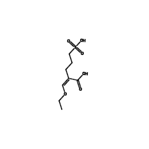 CCOC=C(CCCS(=O)(=O)O)C(=O)O